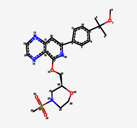 COC(C)(C)c1ccc(-c2cc3nccnc3c(OC[C@@H]3CN(S(C)(=O)=O)CCO3)n2)cc1